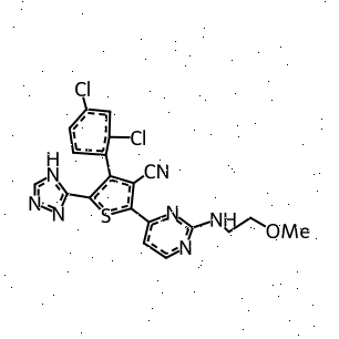 COCCNc1nccc(-c2sc(-c3nnc[nH]3)c(-c3ccc(Cl)cc3Cl)c2C#N)n1